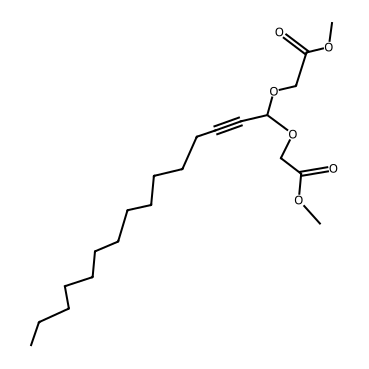 CCCCCCCCCCCCC#CC(OCC(=O)OC)OCC(=O)OC